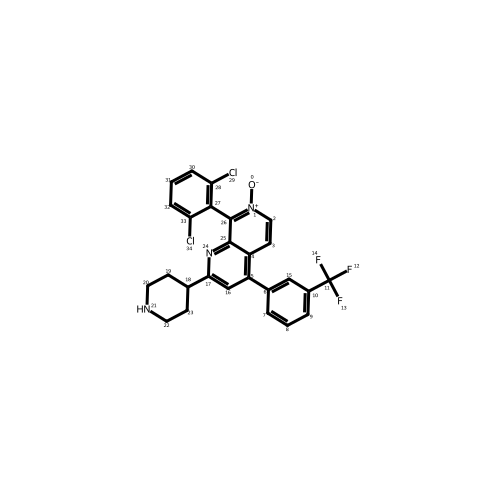 [O-][n+]1ccc2c(-c3cccc(C(F)(F)F)c3)cc(C3CCNCC3)nc2c1-c1c(Cl)cccc1Cl